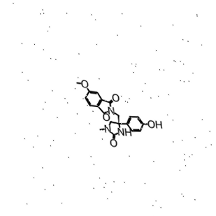 COc1ccc2c(c1)C(=O)N(C[C@@]1(c3ccc(O)cc3)NC(=O)N(C)C1=O)C2